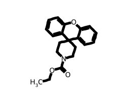 CCOC(=O)N1CCC2(CC1)c1ccccc1Oc1ccccc12